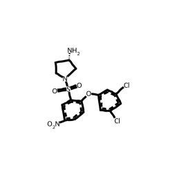 N[C@H]1CCN(S(=O)(=O)c2cc([N+](=O)[O-])ccc2Oc2cc(Cl)cc(Cl)c2)C1